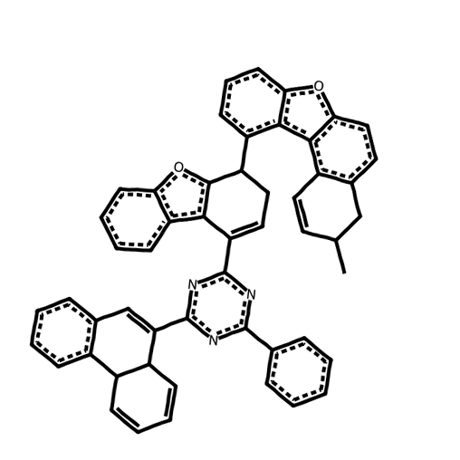 CC1C=Cc2c(ccc3oc4cccc(C5CC=C(c6nc(C7=Cc8ccccc8C8C=CC=CC78)nc(-c7ccccc7)n6)c6c5oc5ccccc65)c4c23)C1